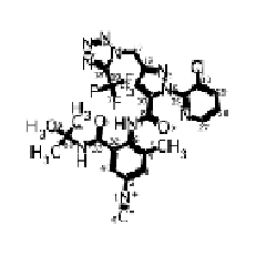 [C-]#[N+]c1cc(C)c(NC(=O)c2cc(Cn3nnnc3C(F)(F)F)nn2-c2ncccc2Cl)c(C(=O)NC(C)(C)C)c1